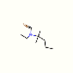 CCCC(C)(C)N([C]=S)CC